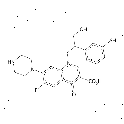 O=C(O)c1cn(CC(CO)c2cccc(S)c2)c2cc(N3CCNCC3)c(F)cc2c1=O